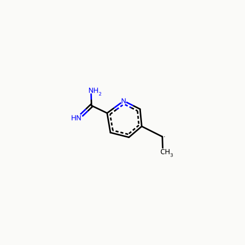 C[CH]c1ccc(C(=N)N)nc1